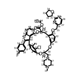 Cc1c2ccc(c1Cl)O[C@H](CN1CCN(C)CC1)COc1ccc(OCc3ccnc([C@@H]4CCCO4)n3)c(c1)C[C@H](C(=O)OC(C)(C)C)Oc1ncnc3sc(-c4ccc(F)cc4)c-2c13